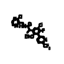 CCOc1c(C(C)C(=O)NCc2nccnc2Cl)cc(Cl)c(F)c1-c1ccc(C(F)(F)F)nc1